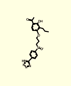 CCCc1c(OCCC[S+]([O-])c2ccc(-c3nnn[nH]3)cc2)ccc(C(C)=O)c1O